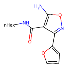 CCCCCCNC(=O)c1c(-c2ccco2)noc1N